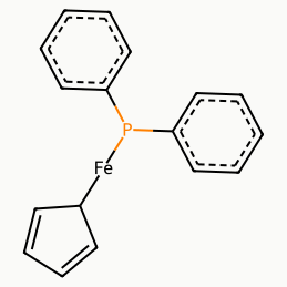 C1=C[CH]([Fe][P](c2ccccc2)c2ccccc2)C=C1